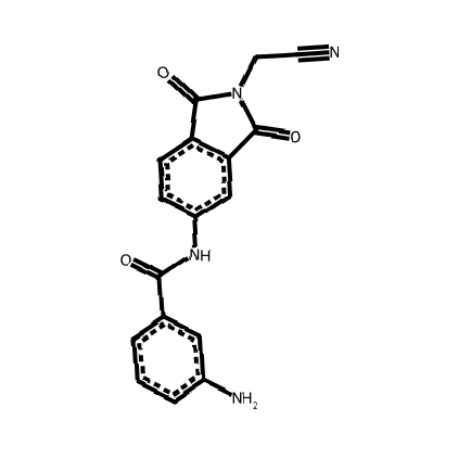 N#CCN1C(=O)c2ccc(NC(=O)c3cccc(N)c3)cc2C1=O